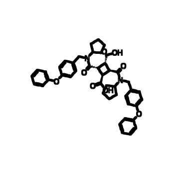 O=C(O)[C@H]1[C@H](C(=O)N(Cc2ccc(Oc3ccccc3)cc2)C2CCCC2)[C@H](C(=O)O)[C@H]1C(=O)N(Cc1ccc(Oc2ccccc2)cc1)C1CCCC1